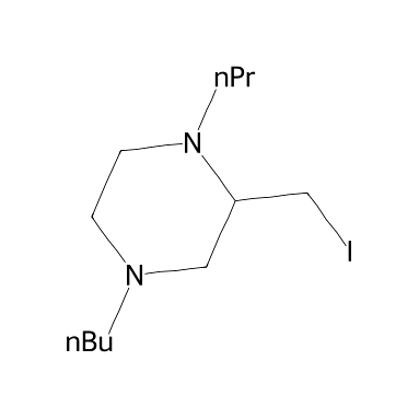 CCCCN1CCN(CCC)C(CI)C1